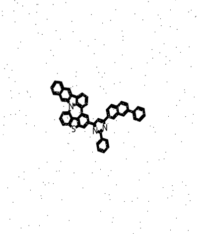 c1ccc(-c2ccc3ccc(-c4cc(-c5cc6sc7cccc8c7c6c(c5)c5cccc6c7cc9ccccc9cc7n8c56)nc(-c5ccccc5)n4)cc3c2)cc1